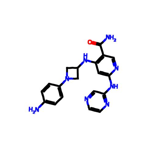 NC(=O)c1cnc(Nc2cnccn2)cc1NC1CN(c2ccc(N)cc2)C1